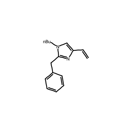 C=Cc1cn(CCCC)c(Cc2ccccc2)n1